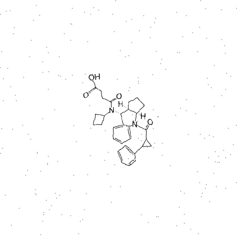 O=C(O)CCC(=O)N(C1CCC1)[C@H]1c2ccccc2N(C(=O)C2CC2c2ccccc2)[C@@H]2CCC[C@@H]21